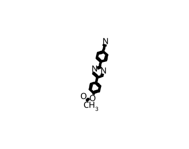 CC(=O)Oc1ccc(-c2cnc(-c3ccc(C#N)cc3)nc2)cc1